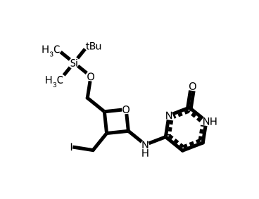 CC(C)(C)[Si](C)(C)OCC1OC(Nc2cc[nH]c(=O)n2)C1CI